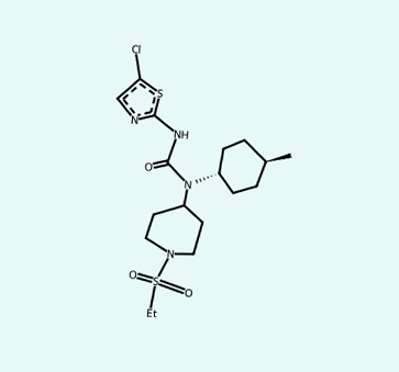 CCS(=O)(=O)N1CCC(N(C(=O)Nc2ncc(Cl)s2)[C@H]2CC[C@H](C)CC2)CC1